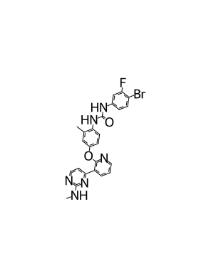 CNc1nccc(-c2cccnc2Oc2ccc(NC(=O)Nc3ccc(Br)c(F)c3)c(C)c2)n1